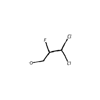 [O]CC(F)C(Cl)Cl